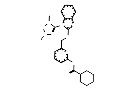 CN1N=C(n2c(OCc3cccc(NC(=O)C4CCCCC4)n3)nc3ccccc32)N(C)N1